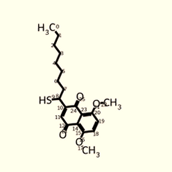 CCCCCCCCC(S)C1=CC(=O)c2c(OC)ccc(OC)c2C1=O